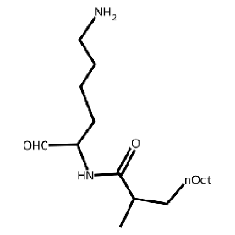 CCCCCCCCCC(C)C(=O)NC(C=O)CCCCN